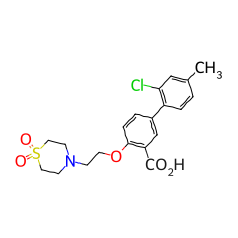 Cc1ccc(-c2ccc(OCCN3CCS(=O)(=O)CC3)c(C(=O)O)c2)c(Cl)c1